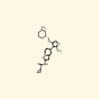 Cc1onc(OC[C@H]2CN(C)CCO2)c1-c1ccn2nc(NC(=O)C3CC3)cc2c1